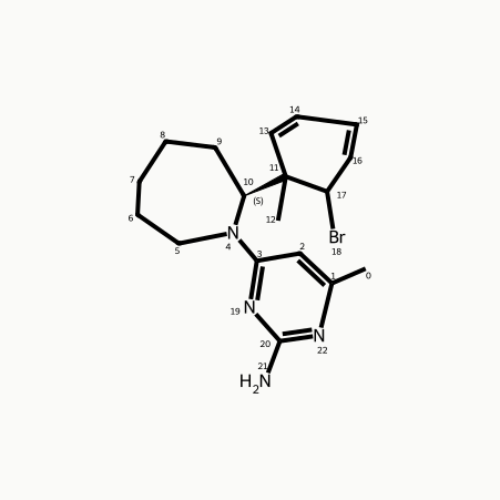 Cc1cc(N2CCCCC[C@H]2C2(C)C=CC=CC2Br)nc(N)n1